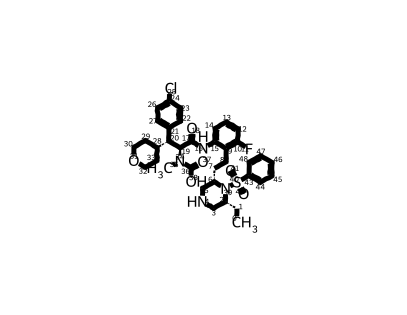 CC[C@@H]1CNC[C@H](CCc2c(F)cccc2NC(=O)[C@H]([C@@H](c2ccc(Cl)cc2)C2CCOCC2)N(C)C(=O)O)N1S(=O)(=O)c1ccccc1